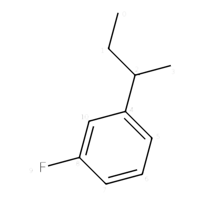 CC[C](C)c1cccc(F)c1